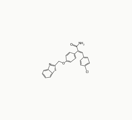 NC(=O)/C(=C/c1ccc(Cl)cc1)c1ccc(OCc2nc3ccccc3s2)cc1